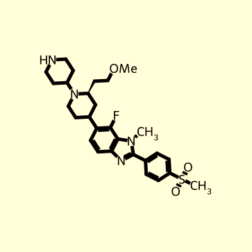 COCC[C@H]1CC(c2ccc3nc(-c4ccc(S(C)(=O)=O)cc4)n(C)c3c2F)CCN1C1CCNCC1